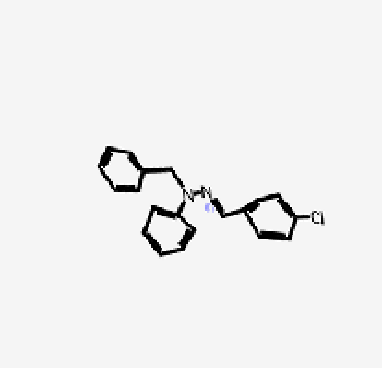 Clc1ccc(/C=N/N(Cc2ccccc2)c2ccccc2)cc1